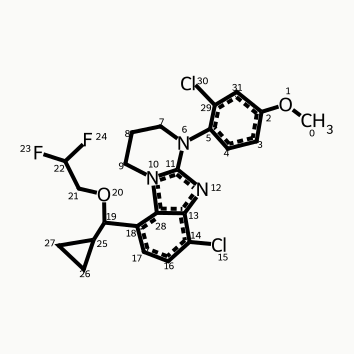 COc1ccc(N2CCCn3c2nc2c(Cl)ccc(C(OCC(F)F)C4CC4)c23)c(Cl)c1